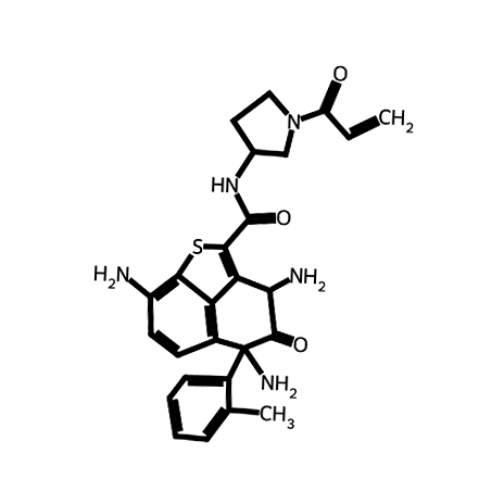 C=CC(=O)N1CCC(NC(=O)c2sc3c(N)ccc4c3c2C(N)C(=O)C4(N)c2ccccc2C)C1